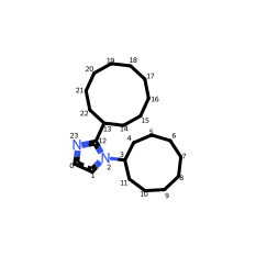 c1cn(C2CCCCCCCC2)c(C2CCCCCCCCC2)n1